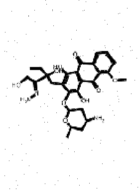 CCC(O)(Cc1c(O)c2c(c(O)c1OC1CC(N)CC(C)O1)C(=O)c1c(OC)cccc1C2=O)/C(CO)=N/N